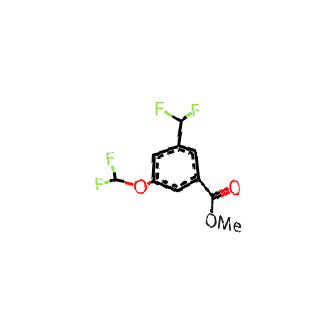 COC(=O)c1cc(OC(F)F)cc(C(F)F)c1